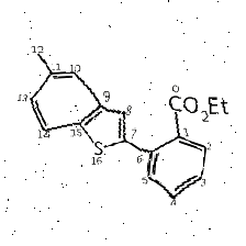 CCOC(=O)c1ccccc1-c1cc2cc(C)ccc2s1